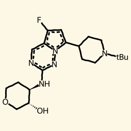 CC(C)(C)N1CCC(c2cc(F)c3cnc(N[C@@H]4CCOC[C@H]4O)nn23)CC1